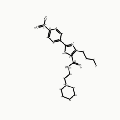 CCCCc1nc(-c2ccc([N+](=O)[O-])cc2)sc1C(=O)NCCN1CCCCC1